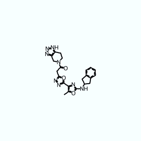 Cc1oc(NC2Cc3ccccc3C2)nc1-c1nnc(CC(=O)N2CCc3[nH]nnc3C2)o1